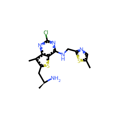 Cc1cnc(CNc2nc(Cl)nc3c(C)c(C[C@H](C)N)sc23)s1